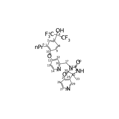 CCCc1cc(C(O)(C(F)(F)F)C(F)(F)F)ccc1Oc1ccnc(CN2C(=O)NC(C)(c3cccnc3)C2=O)c1